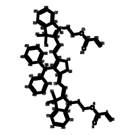 C=CC(=O)OCCN1/C(=C/C=C2\CCC(/C=C/C3=[N+](CCOC(=O)C=C)c4ccccc4C3(C)C)=C2N(c2ccccc2)c2ccccc2)C(C)(C)c2ccccc21